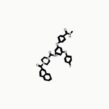 CNC(=O)c1ccc(Oc2cc(NC(=O)N3CCN(C(=O)c4ccc5ccccc5c4)CC3)cc(Oc3ccc(F)cc3)c2)cc1